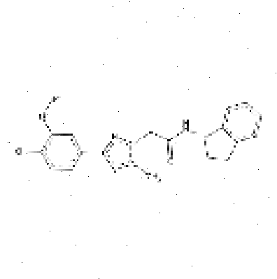 CC(C)Oc1cc(-c2nc(CC(=O)N[C@H]3CCc4ccccc43)n(C)n2)ccc1Cl